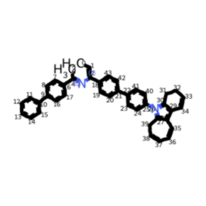 C/C=C(\N=C(/C)c1ccc(-c2ccccc2)cc1)c1ccc(-c2ccc(-n3c4c(c5c3CCC=C5)C=CC=CC4)cc2)cc1